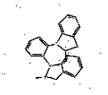 C[C@@H]1Cc2ccccc2P1c1ccccc1P1c2ccccc2C[C@H]1C